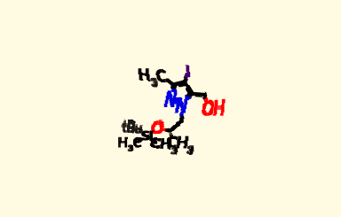 Cc1nn(C[C@H](C)O[Si](C)(C)C(C)(C)C)c(CO)c1I